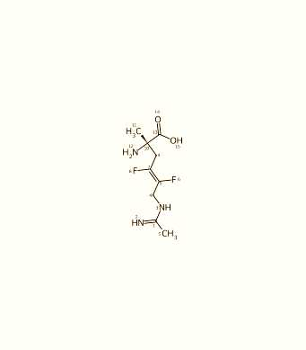 CC(=N)NC/C(F)=C(\F)C[C@](C)(N)C(=O)O